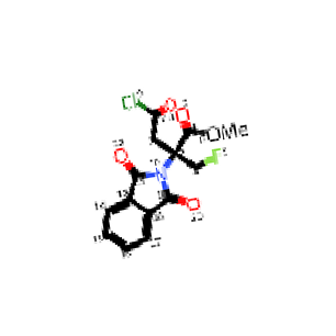 COC(=O)C(CF)(CC(=O)Cl)N1C(=O)c2ccccc2C1=O